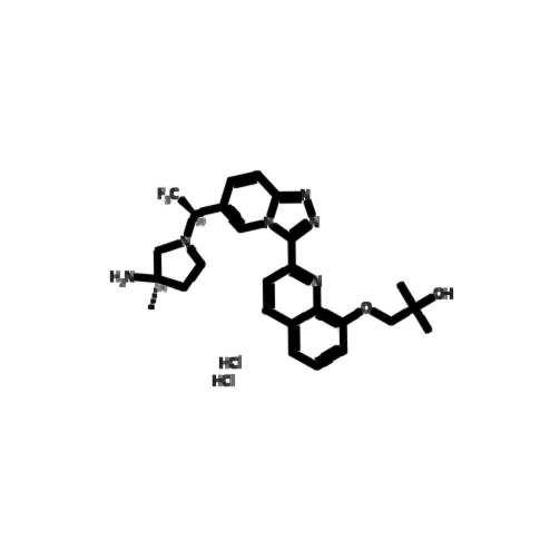 CC(C)(O)COc1cccc2ccc(-c3nnc4ccc([C@@H](N5CC[C@@](C)(N)C5)C(F)(F)F)cn34)nc12.Cl.Cl